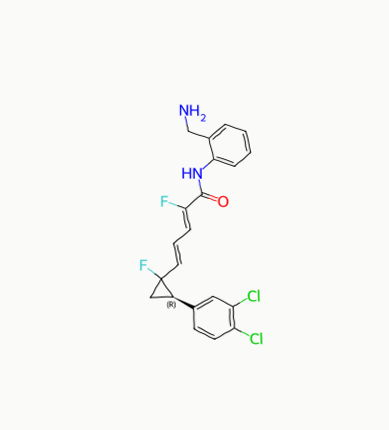 NCc1ccccc1NC(=O)C(F)=CC=CC1(F)C[C@@H]1c1ccc(Cl)c(Cl)c1